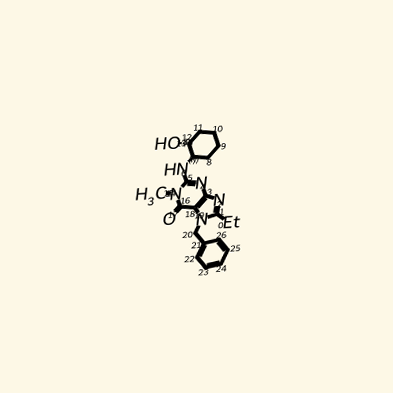 CCc1nc2nc(N[C@@H]3CCCC[C@H]3O)n(C)c(=O)c2n1Cc1ccccc1